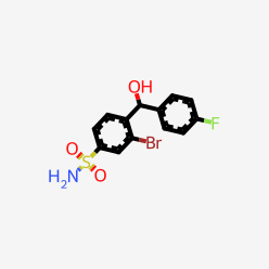 NS(=O)(=O)c1ccc(C(O)c2ccc(F)cc2)c(Br)c1